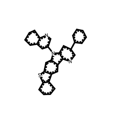 c1ccc(-c2cnc3c4cc5c(cc4n(-c4cnc6ccccc6c4)c3c2)sc2ccccc25)cc1